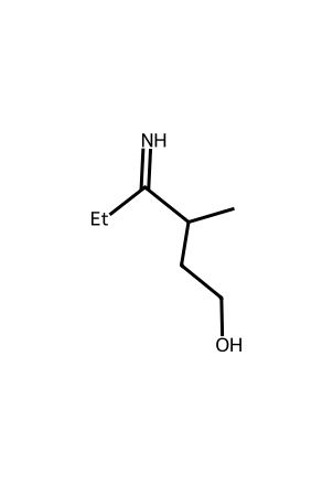 CCC(=N)C(C)CCO